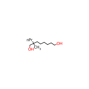 CCCC(C)(CO)CCCCCCO